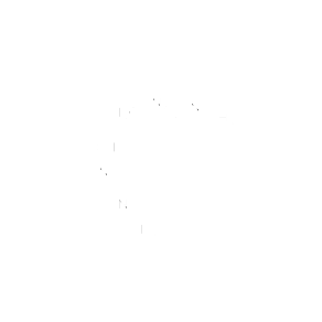 Cn1cc[n+](C)c1CCCc1n(C)cc[n+]1C